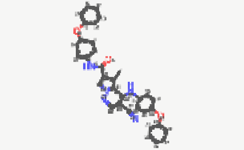 Cc1c(C(=O)Nc2ccc(Oc3ccccc3)cc2)cn2ncc(C#N)c(Nc3ccc(Oc4ccccc4)cc3)c12